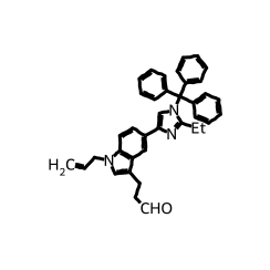 C=CCn1cc(CCC=O)c2cc(-c3cn(C(c4ccccc4)(c4ccccc4)c4ccccc4)c(CC)n3)ccc21